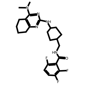 CN(C)c1nc(NC2CCC(CNC(=O)c3c(F)ccc(F)c3F)CC2)nc2c1CCCC2